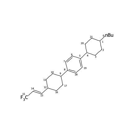 CCCCC1CCC(c2ccc(C3CCC(C=CC(F)(F)F)CC3)cc2)CC1